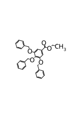 CCOC(=O)c1cc(OCc2ccccc2)c(OCc2ccccc2)c(OCc2ccccc2)c1